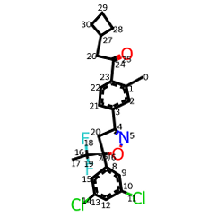 Cc1cc(C2=NO[C@@](c3cc(Cl)cc(Cl)c3)(C(C)(F)F)C2)ccc1C(=O)CC1CCC1